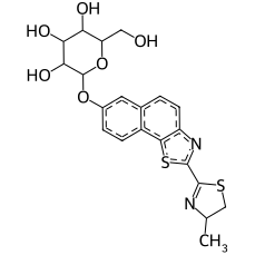 CC1CSC(c2nc3ccc4cc(OC5OC(CO)C(O)C(O)C5O)ccc4c3s2)=N1